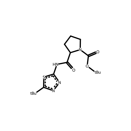 CC(C)(C)OC(=O)N1CCCC1C(=O)Nc1nnc(C(C)(C)C)s1